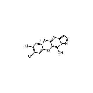 Cc1nc2ccnn2c(O)c1Oc1ccc(Cl)c(Cl)c1